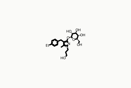 CCc1ccc(Cc2c(O[C@@H]3O[C@H](CO)[C@@H](O)[C@H](O)[C@H]3O)nn(CCCO)c2C)cc1